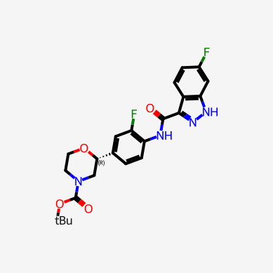 CC(C)(C)OC(=O)N1CCO[C@H](c2ccc(NC(=O)c3n[nH]c4cc(F)ccc34)c(F)c2)C1